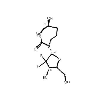 O=C1N[C@@H](O)CCN1[C@@H]1OC(CO)[C@@H](O)C1(F)F